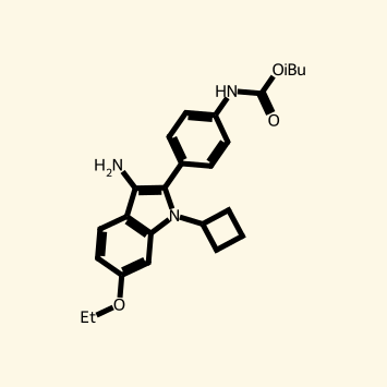 CCOc1ccc2c(N)c(-c3ccc(NC(=O)OCC(C)C)cc3)n(C3CCC3)c2c1